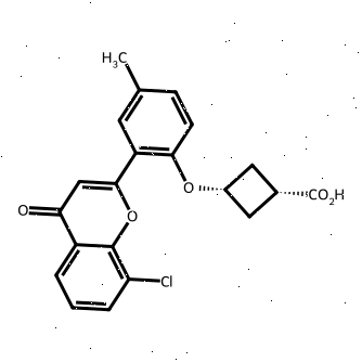 Cc1ccc(O[C@H]2C[C@@H](C(=O)O)C2)c(-c2cc(=O)c3cccc(Cl)c3o2)c1